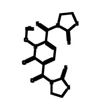 CCCCOn1c(C(=S)N2CCSC2=S)ccc(C(=O)N2CCSC2=S)c1=O